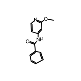 COc1cc(NC(=O)c2ccccc2)ccn1